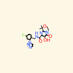 CC1(C)OCCn2c1nc(C(=O)NCc1ccc(F)cc1-n1ccnn1)c(O)c2=O